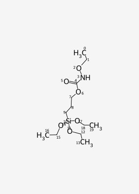 CCONC(=O)OCCC[Si](OCC)(OCC)OCC